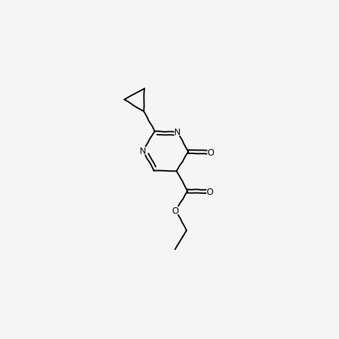 CCOC(=O)C1C=NC(C2CC2)=NC1=O